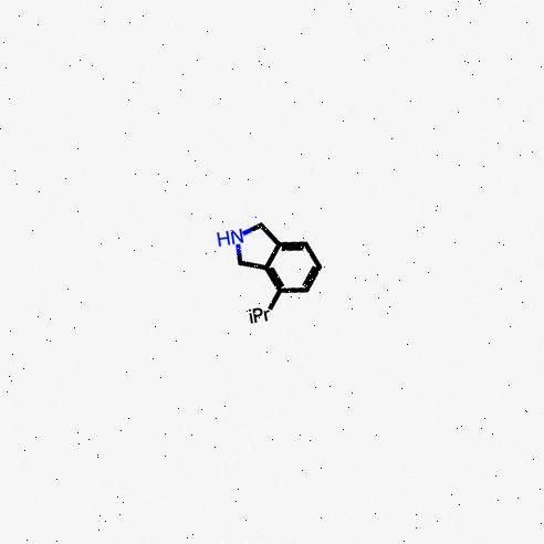 CC(C)c1cccc2c1CNC2